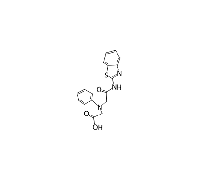 O=C(O)CN(CC(=O)Nc1nc2ccccc2s1)c1ccccc1